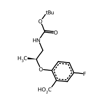 C[C@@H](CNC(=O)OC(C)(C)C)Oc1ccc(F)cc1C(=O)O